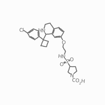 O=C(O)N1CCC(S(=O)(=O)NCCOc2ccc3c(c2)C(C2(c4ccc(Cl)cc4)CCC2)NCC3)C1